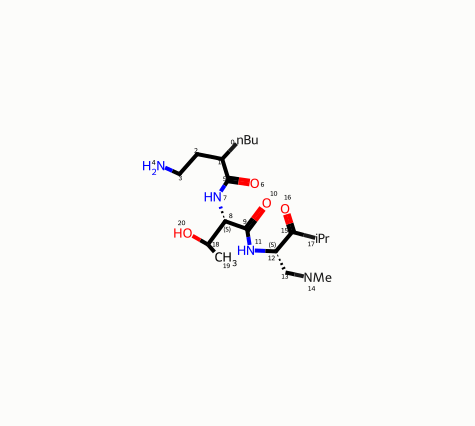 CCCCC(CCN)C(=O)N[C@H](C(=O)N[C@@H](CNC)C(=O)C(C)C)C(C)O